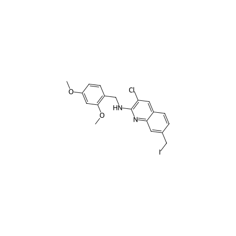 COc1ccc(CNc2nc3cc(CI)ccc3cc2Cl)c(OC)c1